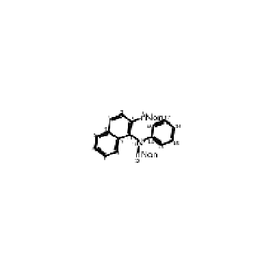 CCCCCCCCCc1ccc2ccccc2c1N(CCCCCCCCC)c1ccccc1